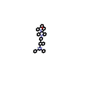 c1ccc(-c2cc(-c3ccccc3)nc(-c3ccc(-c4ccc(N5c6ccccc6-c6c(n(-c7ccccc7-c7ccccc7)c7ccccc67)-c6ccccc65)cc4)c4ccccc34)n2)cc1